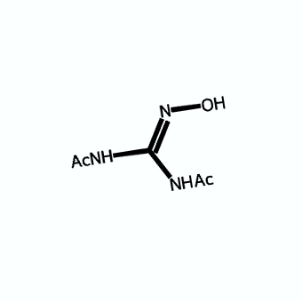 CC(=O)NC(=NO)NC(C)=O